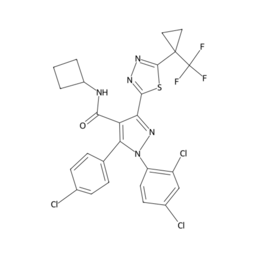 O=C(NC1CCC1)c1c(-c2nnc(C3(C(F)(F)F)CC3)s2)nn(-c2ccc(Cl)cc2Cl)c1-c1ccc(Cl)cc1